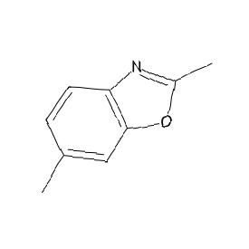 Cc1ccc2nc(C)oc2c1